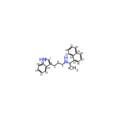 CC(NCCCc1c[nH]c2ccccc12)c1cccc2ccccc12